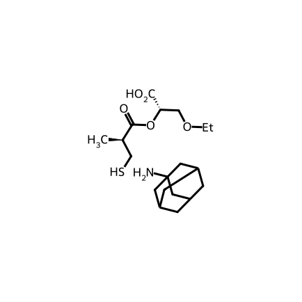 CCOC[C@H](OC(=O)[C@H](C)CS)C(=O)O.NC12CC3CC(CC(C3)C1)C2